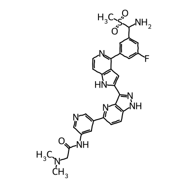 CN(C)CC(=O)Nc1cncc(-c2ccc3[nH]nc(-c4cc5c(-c6cc(F)cc(C(N)S(C)(=O)=O)c6)nccc5[nH]4)c3n2)c1